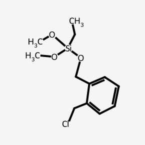 CC[Si](OC)(OC)OCc1ccccc1CCl